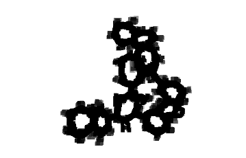 c1ccc(C2=NC(c3cccc4oc5ccc(-c6ccc7c(ccc8ccccc87)c6)cc5c34)NC(c3ccc4ccccc4c3)=N2)cc1